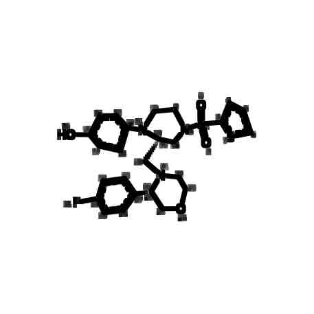 O=S(=O)(c1cccs1)N1CCN(c2ccc(O)cc2)[C@@H](CN2CCOC[C@@H]2c2ccc(F)cc2)C1